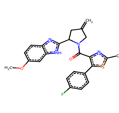 C=C1CC(c2nc3ccc(OC)cc3[nH]2)N(C(=O)c2nc(C)sc2-c2ccc(F)cc2)C1